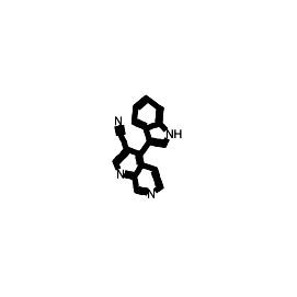 N#Cc1cnc2cnccc2c1-c1c[nH]c2ccccc12